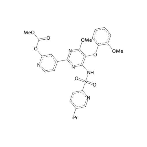 COC(=O)Oc1cc(-c2nc(NS(=O)(=O)c3ccc(C(C)C)cn3)c(Oc3ccccc3OC)c(OC)n2)ccn1